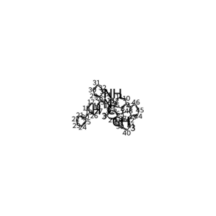 Cc1ccccc1C1(c2cccc(C3N=C(c4ccc(-c5ccccc5)cc4)c4ccccc4N3)c2C)c2ccccc2-c2ccccc21